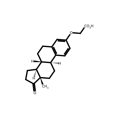 C[C@]12CC[C@@H]3c4ccc(OCC(=O)O)cc4CC[C@H]3[C@@H]1CCC2=O